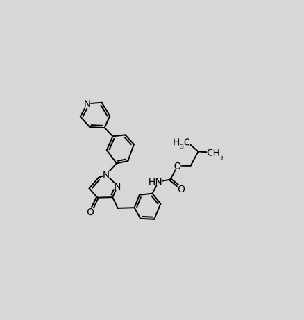 CC(C)COC(=O)Nc1cccc(Cc2nn(-c3cccc(-c4ccncc4)c3)ccc2=O)c1